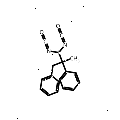 CC(Cc1ccccc1)(c1ccccc1)I(N=C=O)N=C=O